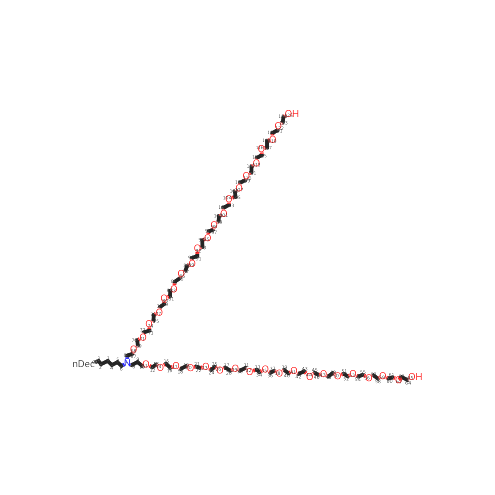 CCCCCCCCCCCCCCCCN(CCCOCCOCCOCCOCCOCCOCCOCCOCCOCCOCCOCCOCCOCCOCCOCCOCCOCCOCCO)CCOCCOCCOCCOCCOCCOCCOCCOCCOCCOCCOCCOCCOCCOCCOCCOCCOCCOCCOCCO